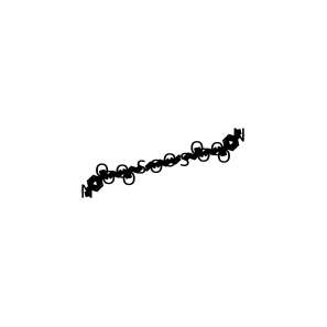 CN(C)c1ccc(C(=O)OCCOC(=O)CCSCCOCCOCCSCCC(=O)OCCOC(=O)c2ccc(N(C)C)cc2)cc1